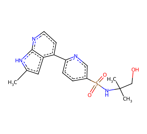 Cc1cc2c(-c3ccc(S(=O)(=O)NC(C)(C)CO)cn3)ccnc2[nH]1